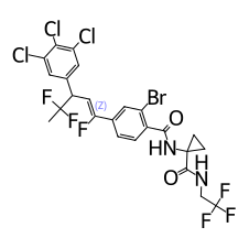 CC(F)(F)C(/C=C(\F)c1ccc(C(=O)NC2(C(=O)NCC(F)(F)F)CC2)c(Br)c1)c1cc(Cl)c(Cl)c(Cl)c1